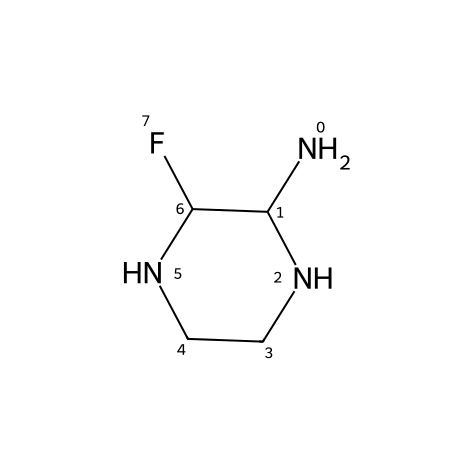 NC1NCCNC1F